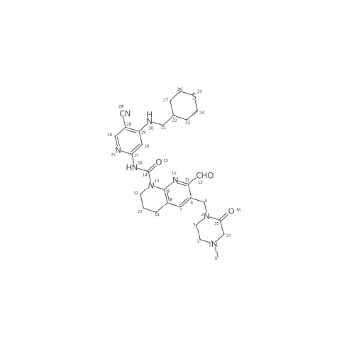 CN1CCN(Cc2cc3c(nc2C=O)N(C(=O)Nc2cc(NCC4CCSCC4)c(C#N)cn2)CCC3)C(=O)C1